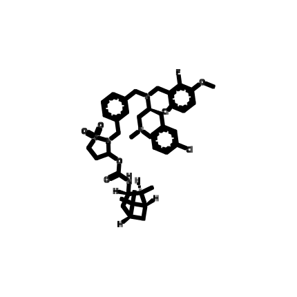 COc1ccc(Cl)c(CN(Cc2cccc(CN3C(OC(=O)N[C@H]4C[C@H]5C[C@@H]([C@@H]4C)C5(C)C)CCS3(=O)=O)c2)[C@@H](Cc2cccc(Cl)c2)CN(C)C)c1F